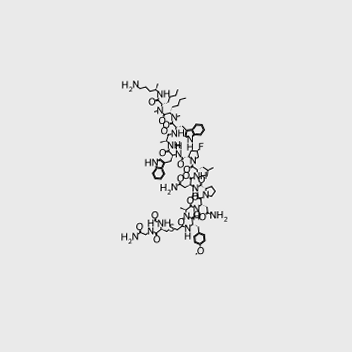 CCCC[C@@H](C(=O)N(C)[C@@H](CCCC)C(=O)N[C@H](C)CCCN)N(C)C(=O)[C@H](Cc1c[nH]c2ccccc12)NC(=O)[C@H](C)NC(=O)[C@H](Cc1c[nH]c2ccccc12)NC(=O)[C@@H]1C[C@@H](F)CN1C(=O)[C@H](CC(C)C)NC(=O)[C@H](CC(N)=O)NC(=O)[C@@H]1CCCN1C(=O)[C@H](CC(N)=O)NC(=O)[C@H](C)N(C)C(=O)[C@H](Cc1ccc(OC)cc1)NC(=O)CSC[C@H](NC=O)C(=O)NCC(N)=O